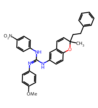 COc1ccc(N=C(Nc2ccc([N+](=O)[O-])cc2)Nc2ccc3c(c2)C=CC(C)(CCc2ccccc2)O3)cc1